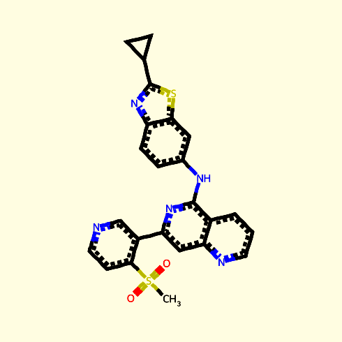 CS(=O)(=O)c1ccncc1-c1cc2ncccc2c(Nc2ccc3nc(C4CC4)sc3c2)n1